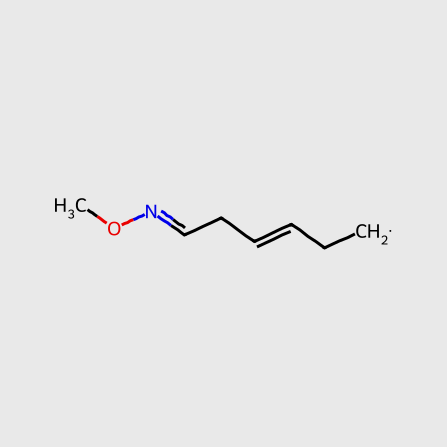 [CH2]CC=CCC=NOC